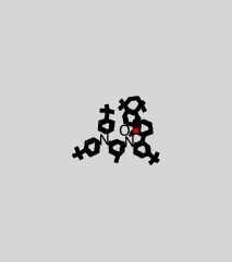 Cc1cc(N(c2ccc(C(C)(C)C)cc2)c2ccc(C(C)(C)C)cc2)cc(N(c2cc3cc4c(cc3o2)C(C)(C)CCC4(C)C)c2ccc(C(C)(C)C)cc2-c2ccccc2)c1